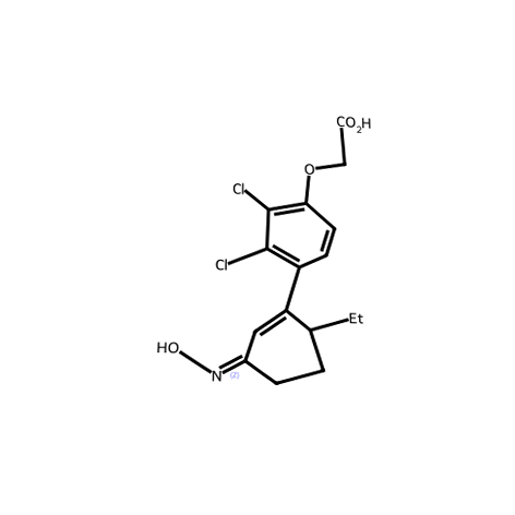 CCC1CC/C(=N/O)C=C1c1ccc(OCC(=O)O)c(Cl)c1Cl